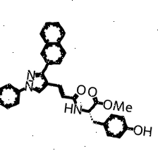 COC(=O)[C@H](Cc1ccc(O)cc1)NC(=O)/C=C/c1cn(-c2ccccc2)nc1-c1ccc2ccccc2c1